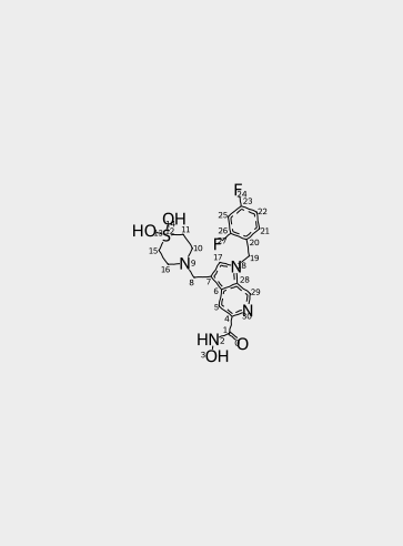 O=C(NO)c1cc2c(CN3CCS(O)(O)CC3)cn(Cc3ccc(F)cc3F)c2cn1